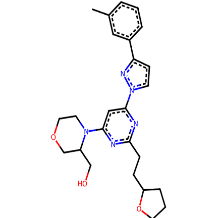 Cc1cccc(-c2ccn(-c3cc(N4CCOCC4CO)nc(CCC4CCCO4)n3)n2)c1